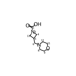 O=C(O)N1CC(CN2CCOCC2)C1